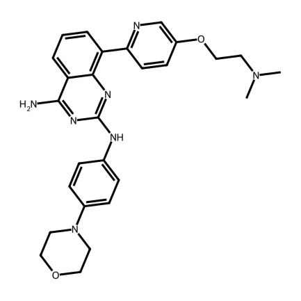 CN(C)CCOc1ccc(-c2cccc3c(N)nc(Nc4ccc(N5CCOCC5)cc4)nc23)nc1